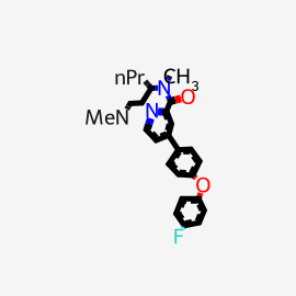 CCCC(CCNC)N(C)C(=O)c1cc(-c2ccc(Oc3ccc(F)cc3)cc2)ccn1